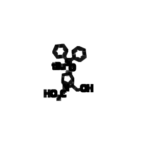 CC(C)(C)[Si](O[C@H]1CC2CC1C(CO)N2C(=O)O)(c1ccccc1)c1ccccc1